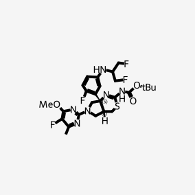 COc1nc(N2C[C@H]3CSC(NC(=O)OC(C)(C)C)=N[C@@]3(c3cc(NC(CF)CF)ccc3F)C2)nc(C)c1F